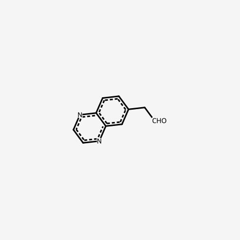 O=CCc1ccc2nccnc2c1